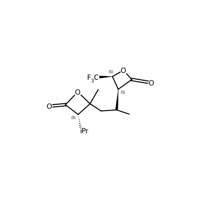 CC(CC1(C)OC(=O)[C@H]1C(C)C)[C@@H]1C(=O)O[C@@H]1C(F)(F)F